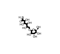 NC(=O)C(O)C(O)C(O)C(O)CO[C@H]1O[C@H](CO)[C@H](O)[C@H](O)[C@H]1O